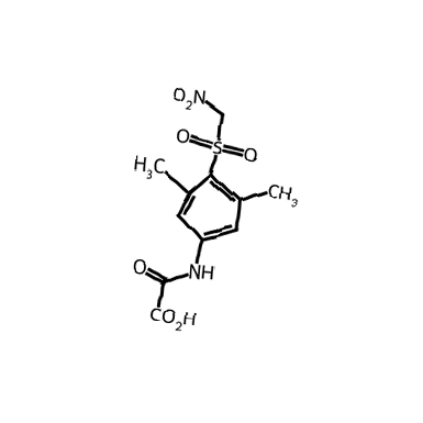 Cc1cc(NC(=O)C(=O)O)cc(C)c1S(=O)(=O)C[N+](=O)[O-]